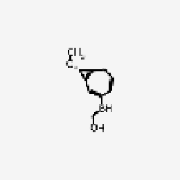 CO[C@H]1C2=C1CC=CC(BCO)=C2